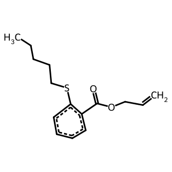 C=CCOC(=O)c1ccccc1SCCCCC